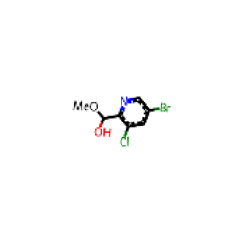 COC(O)c1ncc(Br)cc1Cl